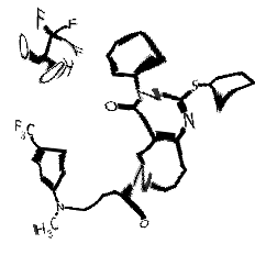 CN(CCC(=O)N1CCc2nc(SC3CCC3)n(-c3ccccc3)c(=O)c2C1)c1ccc(C(F)(F)F)cc1.O=C(O)C(F)(F)F